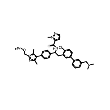 CCCOCn1nc(C)c(-c2ccc(C(Cc3cc(-c4cccc(CN(C)C)c4)ccc3Cl)NC(=O)c3ccnn3C)cc2)c1C